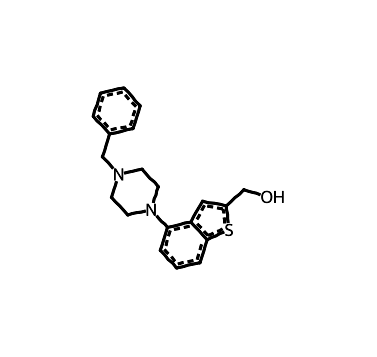 OCc1cc2c(N3CCN(Cc4ccccc4)CC3)cccc2s1